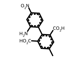 Cc1cc(C(=O)O)c(-c2ccc([N+](=O)[O-])cc2N)c(C(=O)O)c1